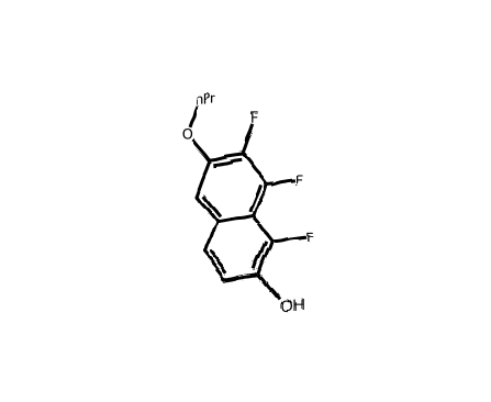 CCCOc1cc2ccc(O)c(F)c2c(F)c1F